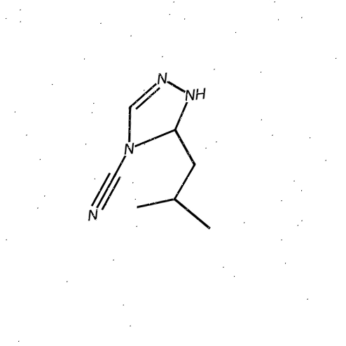 CC(C)CC1NN=CN1C#N